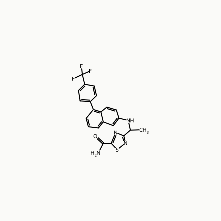 CC(Nc1ccc2c(-c3ccc(C(F)(F)F)cc3)cccc2c1)c1nsc(C(N)=O)n1